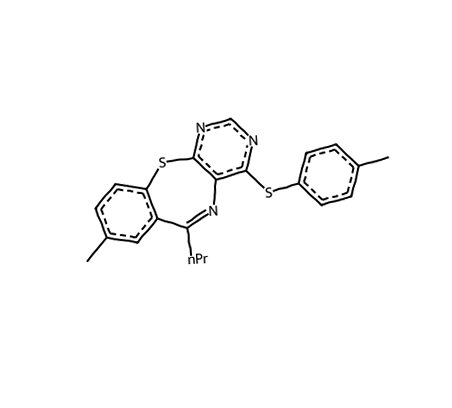 CCCC1=Nc2c(Sc3ccc(C)cc3)ncnc2Sc2ccc(C)cc21